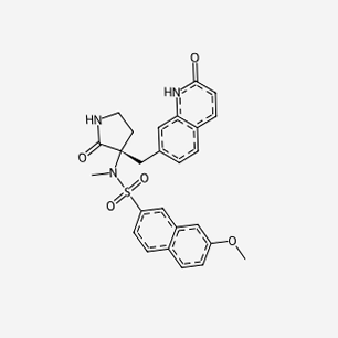 COc1ccc2ccc(S(=O)(=O)N(C)[C@@]3(Cc4ccc5ccc(=O)[nH]c5c4)CCNC3=O)cc2c1